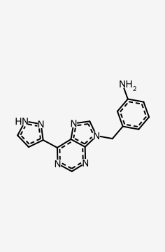 Nc1cccc(Cn2cnc3c(-c4cc[nH]n4)ncnc32)c1